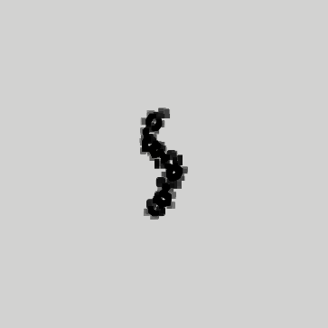 CCN1CCN(Cc2ccc3cc(C(=O)Nc4cc(NC(=O)c5ccc6c(c5)OCCO6)ccc4Cl)sc3n2)CC1